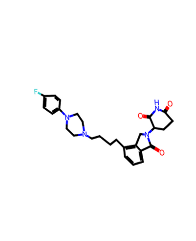 O=C1CCC(N2Cc3c(CCCCN4CCN(c5ccc(F)cc5)CC4)cccc3C2=O)C(=O)N1